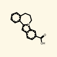 O=C(O)c1ccc2cc3n(c2c1)CCCc1ccccc1-3